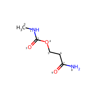 CNC(=O)OCCC(N)=O